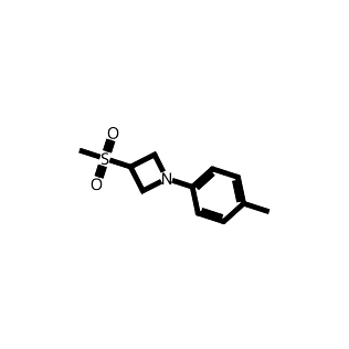 Cc1ccc(N2CC(S(C)(=O)=O)C2)cc1